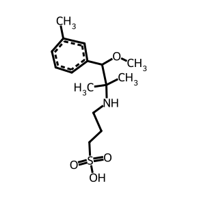 COC(c1cccc(C)c1)C(C)(C)NCCCS(=O)(=O)O